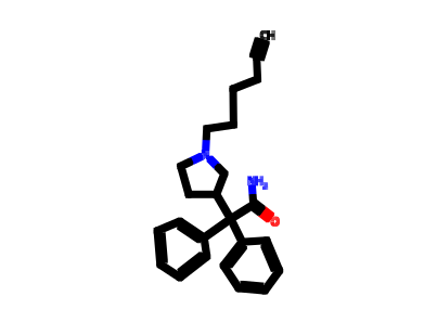 C#CCCCCN1CCC(C(C(N)=O)(c2ccccc2)c2ccccc2)C1